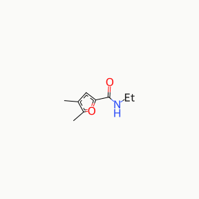 CCNC(=O)c1cc(C)c(C)o1